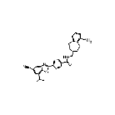 CC(C)c1cc(C#N)cc2nc(-c3ccc(C(=O)NCC4CCc5cccc(N)c5CC4)cc3)oc12